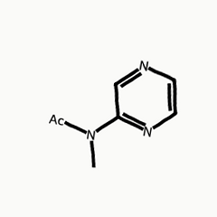 CC(=O)N(C)c1cnccn1